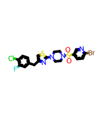 O=S(=O)(c1ccc(Br)nc1)N1CCN(c2nc(Cc3ccc(Cl)c(F)c3)cs2)CC1